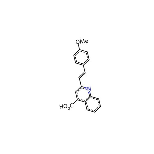 COc1ccc(C=Cc2cc(C(=O)O)c3ccccc3n2)cc1